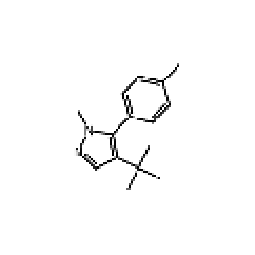 Cc1ccc(-c2c(C(C)(C)C)cnn2C)cc1